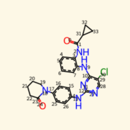 O=C(Nc1ccccc1Nc1nc(Nc2ccc(N3CCCCC3=O)cc2)ncc1Cl)C1CC1